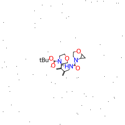 C=C(CNC(=O)N1CCOC2CC21)C(=C)[C@@H]1COCCN1C(=O)OC(C)(C)C